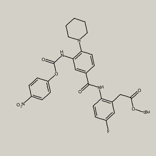 CC(C)(C)OC(=O)Cc1cc(F)ccc1NC(=O)c1ccc(N2CCCCC2)c(NC(=O)Oc2ccc([N+](=O)[O-])cc2)c1